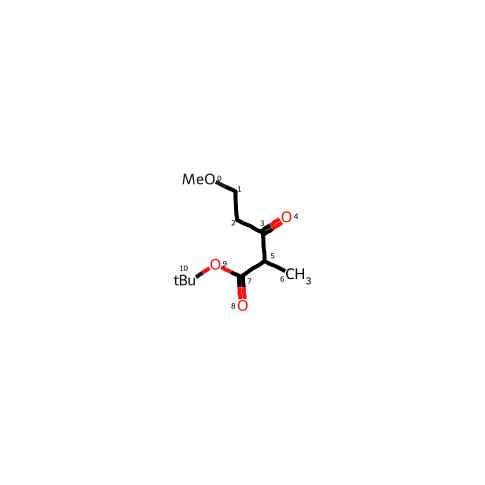 COCCC(=O)C(C)C(=O)OC(C)(C)C